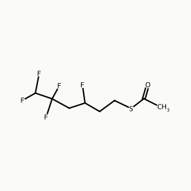 CC(=O)SCCC(F)CC(F)(F)C(F)F